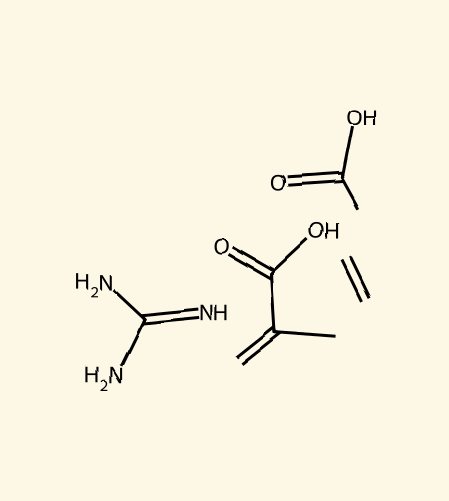 C=C.C=C(C)C(=O)O.CC(=O)O.N=C(N)N